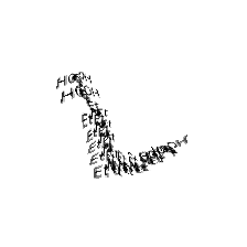 CCN(CC)CC.CCN(CC)CC.CCN(CC)CC.CCN(CC)CC.CCN(CC)CC.CCN(CC)CC.CCN(CC)CC.CCN(CC)CC.OB(O)F.OB(O)F.OB(O)F.OB(O)F